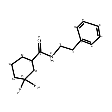 O=C(NCCc1ccccc1)C1CCCC(F)(F)C1